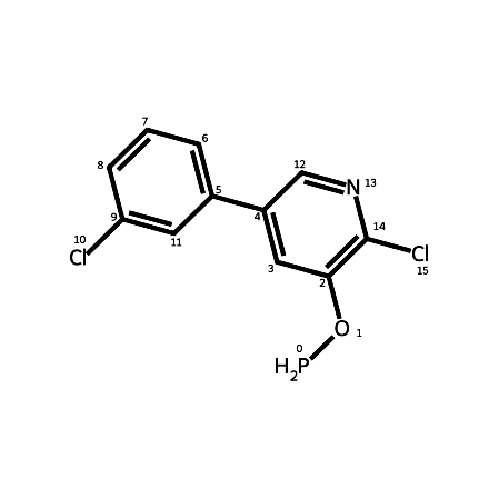 POc1cc(-c2cccc(Cl)c2)cnc1Cl